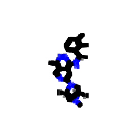 Cc1cccc([C@@H](C)Nc2nnc(C)c3cnc(N4C[C@H]5C[C@@H]4CN5C)cc23)c1C